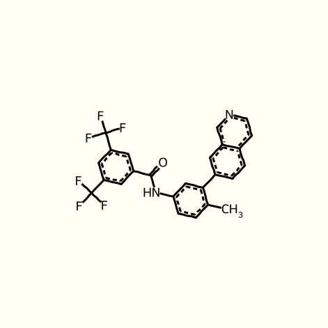 Cc1ccc(NC(=O)c2cc(C(F)(F)F)cc(C(F)(F)F)c2)cc1-c1ccc2ccncc2c1